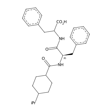 CC(C)C1CCC(C(=O)N[C@H](Cc2ccccc2)C(=O)NC(Cc2ccccc2)C(=O)O)CC1